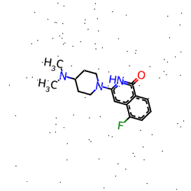 CN(C)C1CCN(c2cc3c(F)cccc3c(=O)[nH]2)CC1